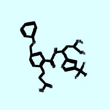 CC(C)CC(NC(=O)c1cc(COc2ccccc2)ccc1CCC(=O)O)c1cc(C(F)(F)F)cs1